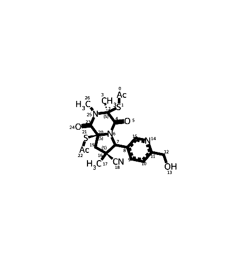 CC(=O)S[C@@]1(C)C(=O)N2C(c3ccc(CO)nc3)[C@@](C)(C#N)C[C@]2(SC(C)=O)C(=O)N1C